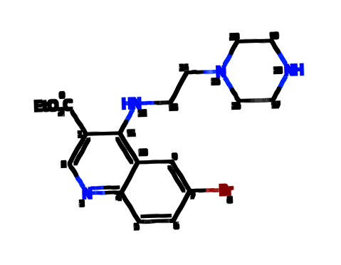 CCOC(=O)c1cnc2ccc(Br)cc2c1NCCN1CCNCC1